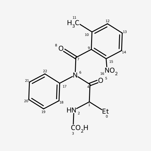 CCC(NC(=O)O)C(=O)N(C(=O)c1c(C)cccc1[N+](=O)[O-])c1ccccc1